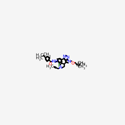 CC#CCN1CCC(c2cn(COCC[Si](C)(C)C)c3ncnc(-c4ccc(CNC(=O)c5ccc(C(C)(C)C)cc5)c(F)c4)c23)CC1